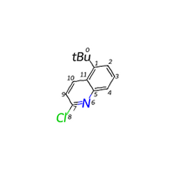 CC(C)(C)c1cccc2nc(Cl)ccc12